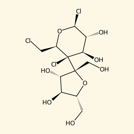 OC[C@H]1O[C@@](CO)([C@@]2(Cl)[C@H](O)[C@@H](O)[C@H](Cl)O[C@@H]2CCl)[C@@H](O)[C@@H]1O